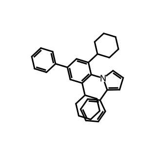 c1ccc(-c2cc(C3CCCCC3)c(-n3cccc3-c3ccccc3)c(C3CCCCC3)c2)cc1